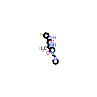 Cc1c(C=C2C(=O)Nc3ccc(F)cc32)[nH]c2c1C(=O)N(CCN1CCCCC1)CC2